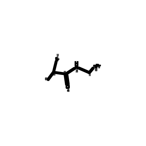 CCCCNC(=O)C(C)[S]